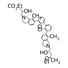 C=C(CC(O)CN1CCc2ccc(-c3cccc(-c4cccc(-c5ccc6c(c5C)CN(CC(O)CC(=O)OCC)CC6)c4Cl)c3Cl)c(C)c2C1)OCC